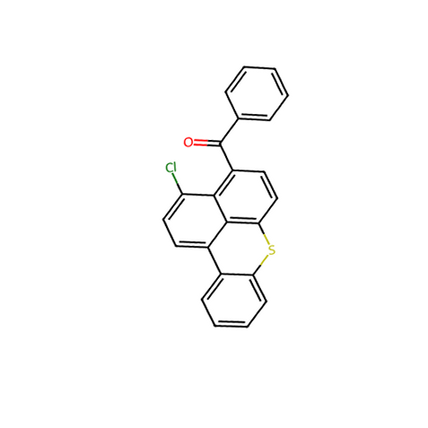 O=C(c1ccccc1)c1ccc2c3c(ccc(Cl)c13)-c1ccccc1S2